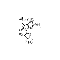 CCOC(=O)C1(Cn2c(=O)n([C@@H]3O[C@H](CO)[C@@H](F)[C@H]3O)c3nc(N)ncc32)CC1